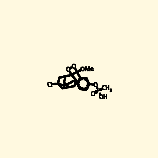 COC1(c2cccc(OP(C)(=O)O)c2)OOC12C1CC3CC2CC(Cl)(C3)C1